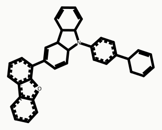 C1=CCC(c2ccc(N3C4C=CC=CC4C4C=C(c5cccc6c5oc5ccccc56)C=CC43)cc2)C=C1